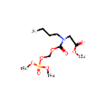 CC(=O)CCCN(CC(=O)OC(C)(C)C)C(=O)OCOP(=O)(OC(C)(C)C)OC(C)(C)C